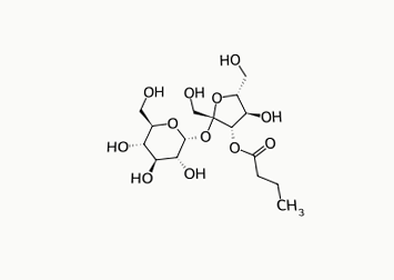 CCCC(=O)O[C@H]1[C@H](O)[C@@H](CO)O[C@@]1(CO)O[C@H]1O[C@H](CO)[C@@H](O)[C@H](O)[C@H]1O